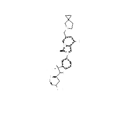 CC1C=NN=C(C(F)[C@](C)(F)c2cccc(-n3cc4c(C(F)(F)F)cc(CN5CCC6(CC6)C5)cn4c3=O)c2)C1